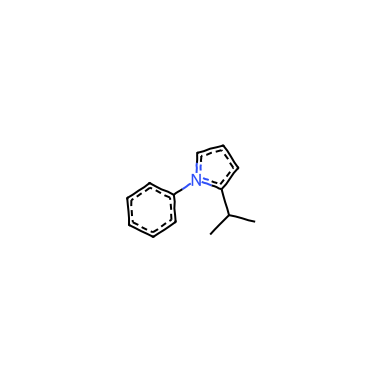 CC(C)c1cccn1-c1ccccc1